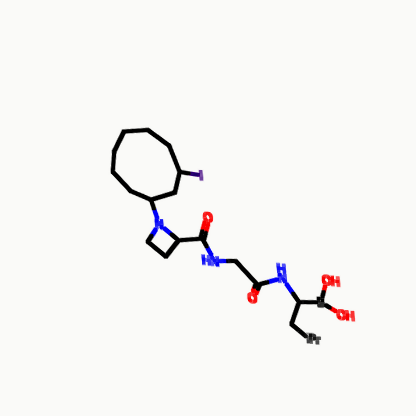 CC(C)CC(NC(=O)CNC(=O)C1CCN1C1CCCCCCC(I)C1)B(O)O